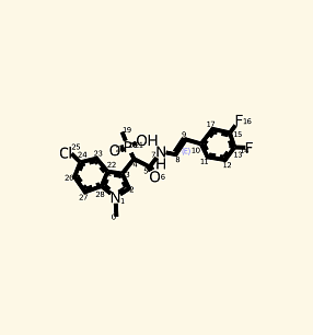 Cn1cc(C(C(=O)N/C=C/c2ccc(F)c(F)c2)P(C)(=O)O)c2cc(Cl)ccc21